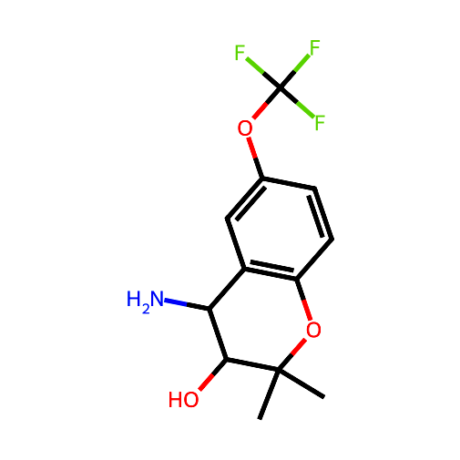 CC1(C)Oc2ccc(OC(F)(F)F)cc2C(N)C1O